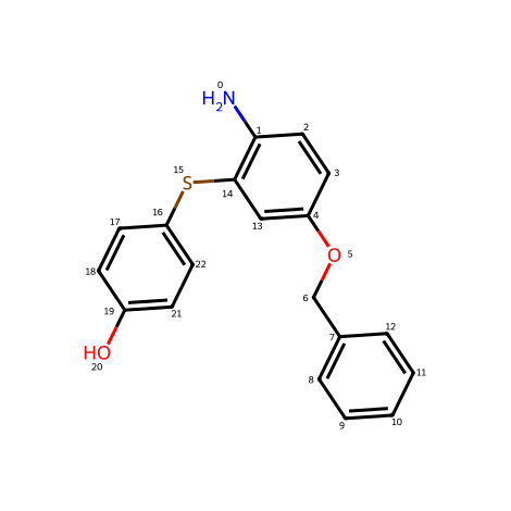 Nc1ccc(OCc2ccccc2)cc1Sc1ccc(O)cc1